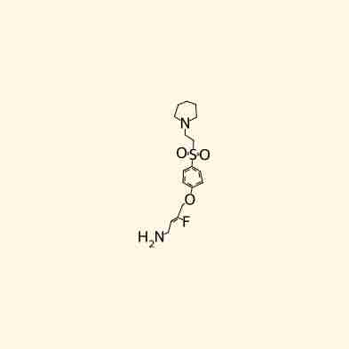 NC/C=C(\F)COc1ccc(S(=O)(=O)CCN2CCCCC2)cc1